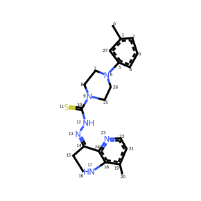 Cc1cccc(N2CCN(C(=S)N/N=C3/CCNc4c(C)ccnc43)CC2)c1